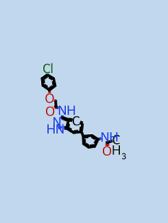 CC(=O)Nc1cccc(-c2ccc3c(NC(=O)COc4ccc(Cl)cc4)n[nH]c3c2)c1